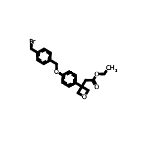 CCOC(=O)CC1(c2ccc(OCc3ccc(CBr)cc3)cc2)COC1